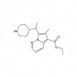 CCOC(=O)c1c(C)c(C(C)C2CCNCC2)n2ncccc12